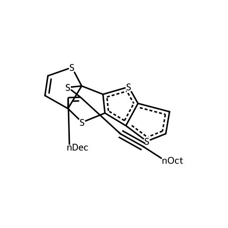 CCCCCCCCC#CC1=C(CCCCCCCCCC)C23C=CSC2(S1)c1sc2ccsc2c1S3